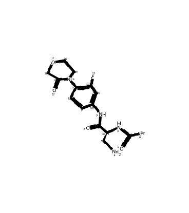 CC(C)C(=O)N[C@@H](CN)C(=O)Nc1ccc(N2CCOCC2=O)c(F)c1